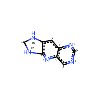 c1ncc2nc3c(cc2n1)NCN3